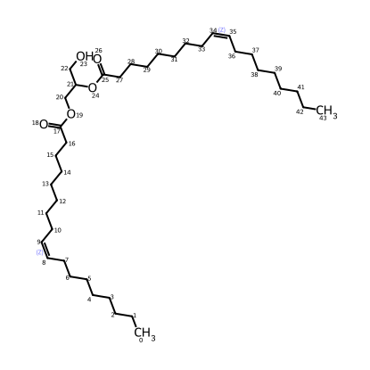 CCCCCCCC/C=C\CCCCCCCC(=O)OCC(CO)OC(=O)CCCCCCC/C=C\CCCCCCCC